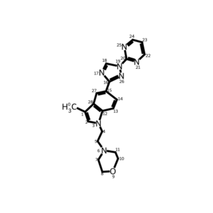 Cc1cn(CCN2CCOCC2)c2ccc(-c3ncn(-c4ncccn4)n3)cc12